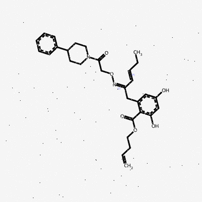 C=CCCOC(=O)c1c(O)cc(O)cc1CC(/C=C/CC)=N/OCC(=O)N1CCC(c2ccccc2)CC1